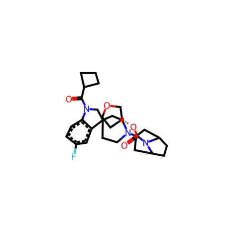 O=C(C1CCC1)N1CC2(CCN(C3CC4CCC(C3)N4C(=O)O[C@@H]3CCOC3)CC2)c2cc(F)ccc21